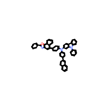 c1ccc(-c2nc3cc(-c4ccc(N(c5ccc(-c6ccc7ccccc7c6)cc5)c5ccc6c7ccccc7n(-c7ccccc7)c6c5)cc4)c4ccccc4c3o2)cc1